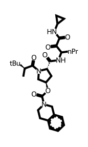 CCCC(NC(=O)[C@@H]1C[C@@H](OC(=O)N2CCc3ccccc3C2)CN1C(=O)[C@@H](C)C(C)(C)C)C(=O)C(=O)NC1CC1